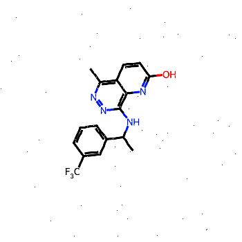 Cc1nnc(NC(C)c2cccc(C(F)(F)F)c2)c2nc(O)ccc12